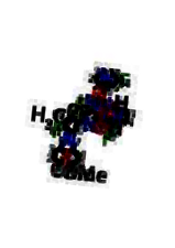 COc1ccc(CN(Cc2ccc(OC)cc2)c2cc(-c3nc4c5c(nc(OC[C@@]67CCCN6C[C@H](F)C7)nc5c3F)N3C[C@H]5CC[C@@H]([C@H]3C(CF)O4)N5C(=O)OC(C)(C)C)c(C(F)(F)F)c(C)c2F)cc1